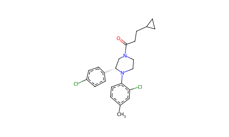 Cc1ccc(N2CCN(C(=O)CCC3CC3)C[C@H]2c2ccc(Cl)cc2)c(Cl)c1